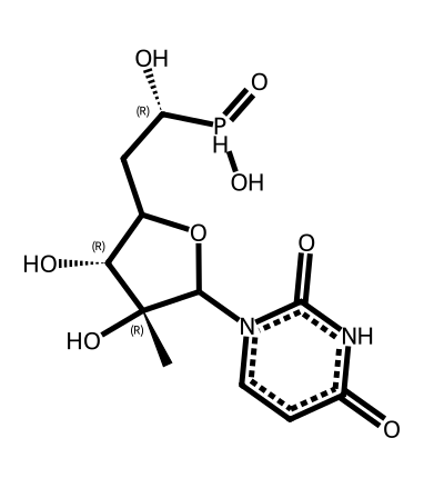 C[C@]1(O)C(n2ccc(=O)[nH]c2=O)OC(C[C@H](O)[PH](=O)O)[C@H]1O